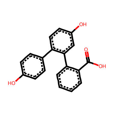 O=C(O)c1ccccc1-c1cc(O)ccc1-c1ccc(O)cc1